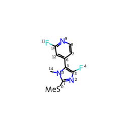 CSc1nc(F)c(-c2ccnc(F)c2)n1C